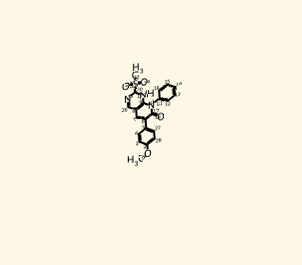 COc1ccc(-c2cc3c(n(-c4ccccc4)c2=O)NC(S(C)(=O)=O)N=C3)cc1